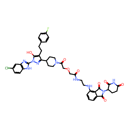 O=C(COCC(=O)N1CCC(c2nn(-c3nc4cc(Cl)ccc4[nH]3)c(O)c2CCc2ccc(F)cc2)CC1)NCCNc1cccc2c1C(=O)N(C1CCC(=O)NC1=O)C2=O